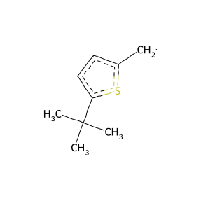 [CH2]c1ccc(C(C)(C)C)s1